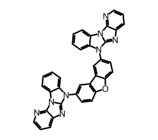 c1cnc2c(c1)nc1n(-c3ccc4oc5ccc(-n6c7ccccc7n7c8ncccc8nc67)cc5c4c3)c3ccccc3n21